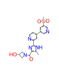 Cc1[nH]c(-c2cc(-c3cncc(S(C)(=O)=O)c3)ccn2)nc1C(=O)N1CC(O)C1